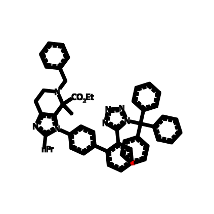 CCCc1nc2c(n1-c1ccc(-c3ccccc3-c3nnnn3C(c3ccccc3)(c3ccccc3)c3ccccc3)cc1)C(C)(C(=O)OCC)N(Cc1ccccc1)CC2